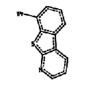 CC(C)c1cccc2c1sc1ncccc12